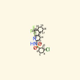 Cc1c(Cl)cccc1S(=O)(=O)Nc1ccc(-c2ccccc2C(F)(F)F)cn1